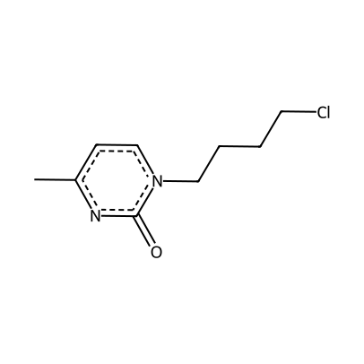 Cc1ccn(CCCCCl)c(=O)n1